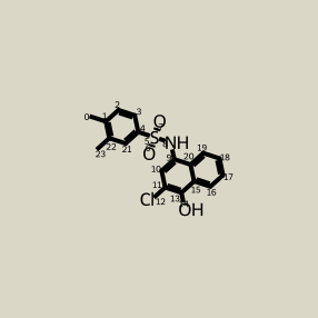 Cc1ccc(S(=O)(=O)Nc2cc(Cl)c(O)c3ccccc23)cc1C